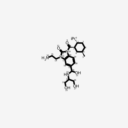 CC(C)[C@@H]1CC[C@@H](C)C[C@H]1C(=O)n1c(=O)n(CCN)c2cc(C(O)NC(CO)CO)ccc21